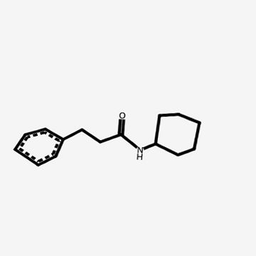 O=C(CCc1ccccc1)NC1CCCCC1